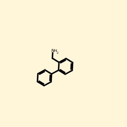 NCc1ccccc1-c1[c]cccc1